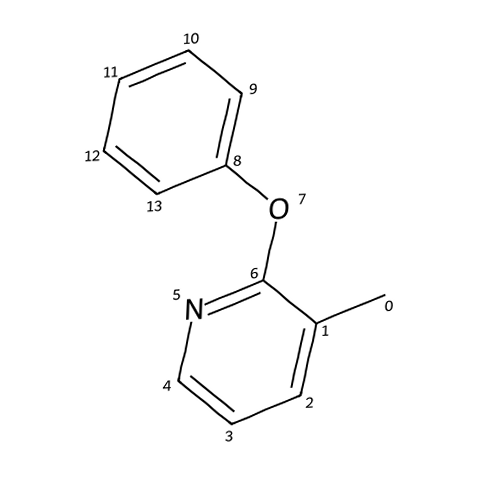 Cc1cccnc1Oc1ccccc1